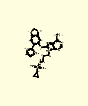 NNc1ncnc2c1nc(Sc1cc3c(cc1-c1nccs1)OCO3)n2CCCNS(=O)(=O)C1CC1